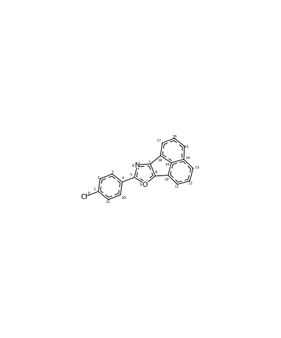 Clc1ccc(-c2nc3c(o2)-c2cccc4cccc-3c24)cc1